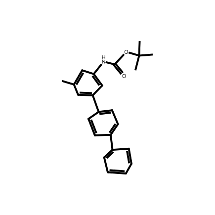 Cc1cc(NC(=O)OC(C)(C)C)cc(-c2ccc(-c3ccccc3)cc2)c1